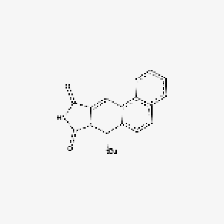 CC(C)(C)C1c2ccc3ccccc3c2C=C2C(=O)NC(=O)N21